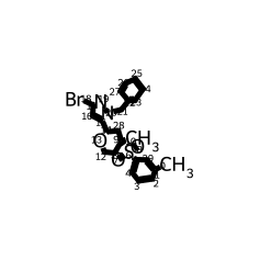 Cc1cccc(S(=O)(=O)C2(C)CCOC(c3cc(Br)nn3Cc3ccccc3)C2)c1